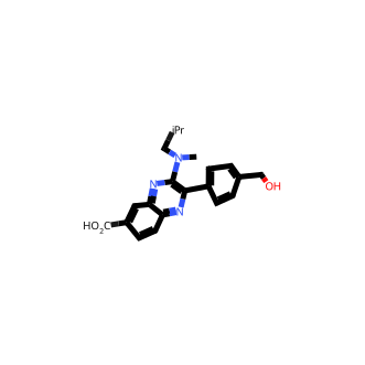 CC(C)CN(C)c1nc2cc(C(=O)O)ccc2nc1-c1ccc(CO)cc1